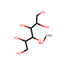 O=CO.OCC(O)C(O)C(O)C(O)CO